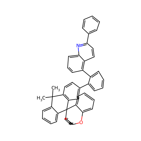 CC1(C)c2ccccc2C2(c3ccccc3Oc3ccccc32)c2cc(-c3ccccc3-c3cccc4nc(-c5ccccc5)ccc34)ccc21